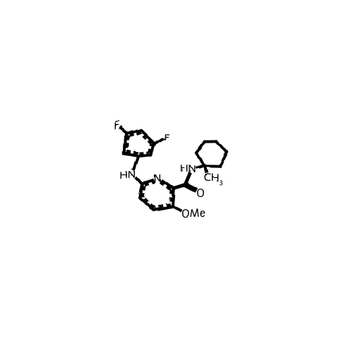 COc1ccc(Nc2cc(F)cc(F)c2)nc1C(=O)NC1(C)CCCCC1